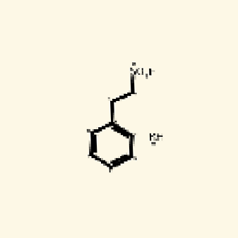 O=S(=O)(O)CCc1ccccc1.[KH]